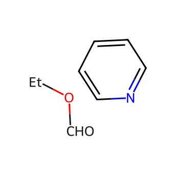 CCOC=O.c1ccncc1